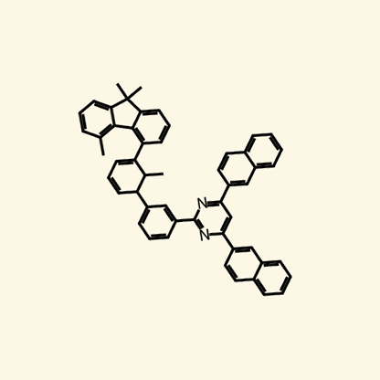 Cc1cccc2c1-c1c(C3=CC=CC(c4cccc(-c5nc(-c6ccc7ccccc7c6)cc(-c6ccc7ccccc7c6)n5)c4)C3C)cccc1C2(C)C